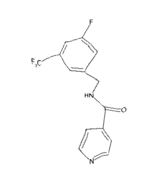 O=C(NCc1cc(F)cc(C(F)(F)F)c1)c1ccncc1